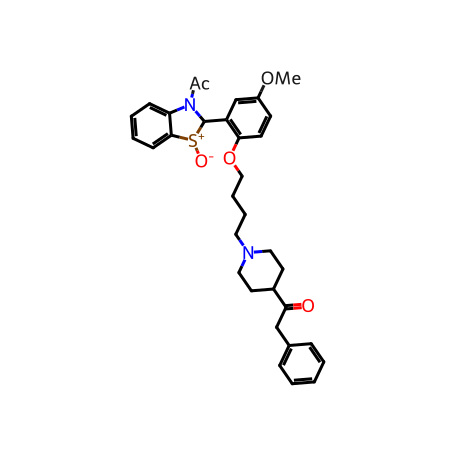 COc1ccc(OCCCCN2CCC(C(=O)Cc3ccccc3)CC2)c(C2N(C(C)=O)c3ccccc3[S+]2[O-])c1